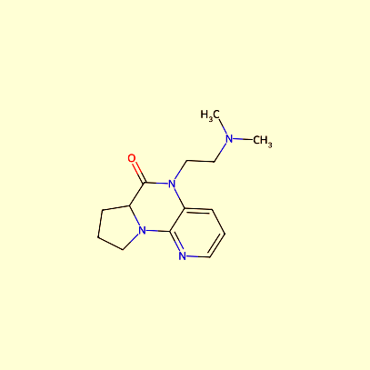 CN(C)CCN1C(=O)C2CCCN2c2ncccc21